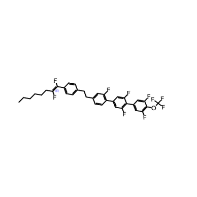 CCCCCC/C(F)=C(\F)c1ccc(CCc2ccc(-c3cc(F)c(-c4cc(F)c(OC(F)(F)F)c(F)c4)c(F)c3)c(F)c2)cc1